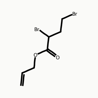 C=CCOC(=O)C(Br)CCBr